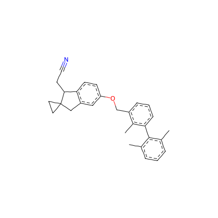 Cc1cccc(C)c1-c1cccc(COc2ccc3c(c2)CC2(CC2)C3CC#N)c1C